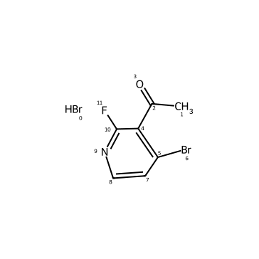 Br.CC(=O)c1c(Br)ccnc1F